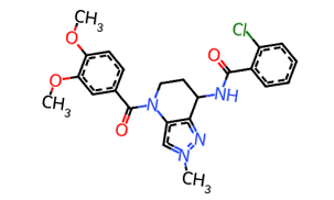 COc1ccc(C(=O)N2CCC(NC(=O)c3ccccc3Cl)c3nn(C)cc32)cc1OC